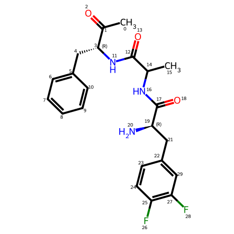 CC(=O)[C@@H](Cc1ccccc1)NC(=O)C(C)NC(=O)[C@H](N)Cc1ccc(F)c(F)c1